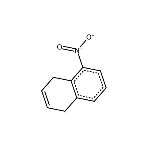 O=[N+]([O-])c1cccc2c1CC=C[CH]2